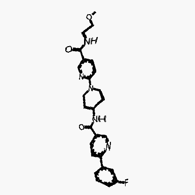 COCCNC(=O)c1ccc(N2CCC(NC(=O)c3ccc(-c4cccc(F)c4)nc3)CC2)nc1